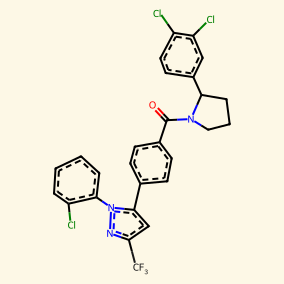 O=C(c1ccc(-c2cc(C(F)(F)F)nn2-c2ccccc2Cl)cc1)N1CCCC1c1ccc(Cl)c(Cl)c1